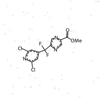 COC(=O)c1cnc(C(F)(F)c2cc(Cl)nc(Cl)c2)cn1